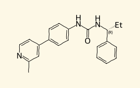 CC[C@@H](NC(=O)Nc1ccc(-c2ccnc(C)c2)cc1)c1ccccc1